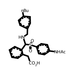 CCCCc1ccc(CNC(c2ccccc2CC(=O)O)S(=O)(=O)c2ccc(NC(C)=O)cc2)cc1